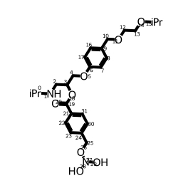 CC(C)NCC(COc1ccc(COCCOC(C)C)cc1)OC(=O)c1ccc(CON(O)O)cc1